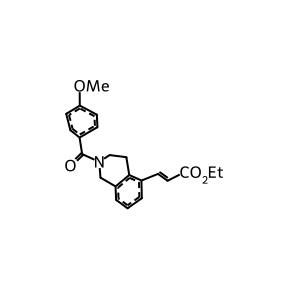 CCOC(=O)/C=C/c1cccc2c1CCN(C(=O)c1ccc(OC)cc1)C2